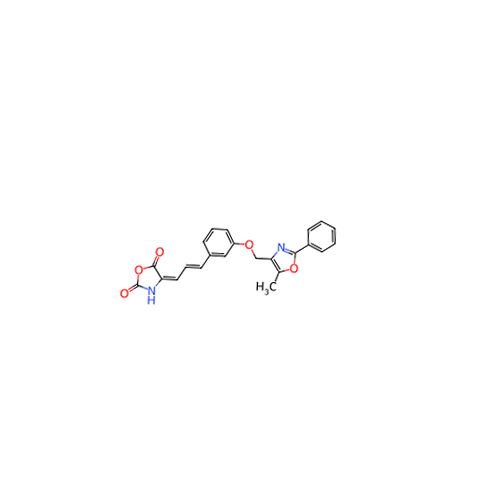 Cc1oc(-c2ccccc2)nc1COc1cccc(C=CC=C2NC(=O)OC2=O)c1